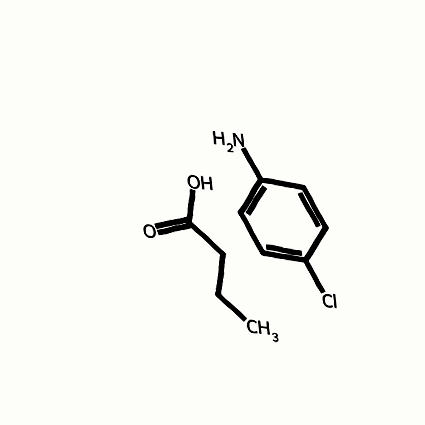 CCCC(=O)O.Nc1ccc(Cl)cc1